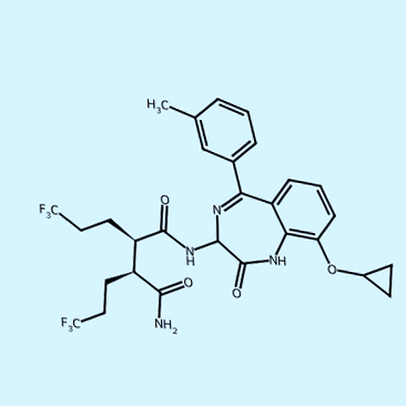 Cc1cccc(C2=NC(NC(=O)[C@H](CCC(F)(F)F)[C@H](CCC(F)(F)F)C(N)=O)C(=O)Nc3c(OC4CC4)cccc32)c1